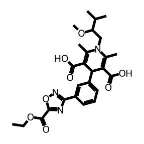 CCOC(=O)c1nc(-c2cccc(C3C(C(=O)O)=C(C)N(CC(OC)C(C)C)C(C)=C3C(=O)O)c2)no1